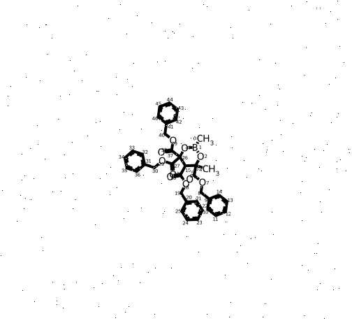 CB1OC(C)(C(=O)OCc2ccccc2)C(C(=O)OCc2ccccc2)C(C(=O)OCc2ccccc2)(C(=O)OCc2ccccc2)O1